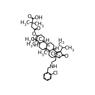 CC(C)C1=C2[C@H]3CC[C@@H]4[C@@]5(C)CC[C@H](OC(=O)CC(C)(C)C(=O)O)C(C)(C)[C@@H]5CC[C@@]4(C)[C@]3(C)CC[C@@]2(CCNCc2ccccc2Cl)CC1=O